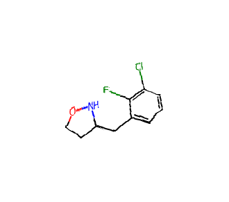 Fc1c(Cl)cccc1CC1CCON1